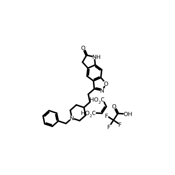 O=C(O)/C=C\C(=O)O.O=C(O)C(F)(F)F.O=C1Cc2cc3c(CCC4CCN(Cc5ccccc5)CC4)noc3cc2N1